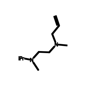 C=CCN(C)CCN(C)C(C)C